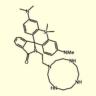 CNc1ccc2c(c1)[Si](C)(C)c1cc(N(C)C)ccc1[C@@]21c2ccccc2C(=O)N1CCN1CCNCCNCCNCC1